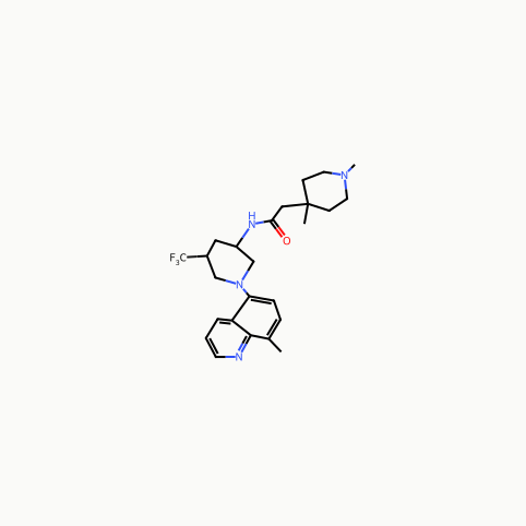 Cc1ccc(N2CC(NC(=O)CC3(C)CCN(C)CC3)CC(C(F)(F)F)C2)c2cccnc12